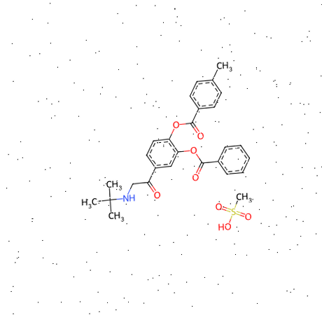 CS(=O)(=O)O.Cc1ccc(C(=O)Oc2ccc(C(=O)CNC(C)(C)C)cc2OC(=O)c2ccccc2)cc1